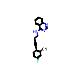 N#Cc1cc(F)ccc1C#CCCNc1ncnc2ccccc12